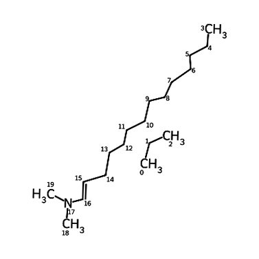 CCC.CCCCCCCCCCCCC=CN(C)C